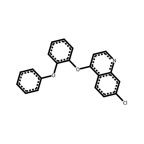 Clc1ccc2c(Oc3ccccc3Oc3ccccc3)ccnc2c1